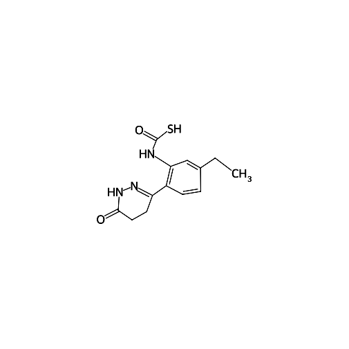 CCc1ccc(C2=NNC(=O)CC2)c(NC(=O)S)c1